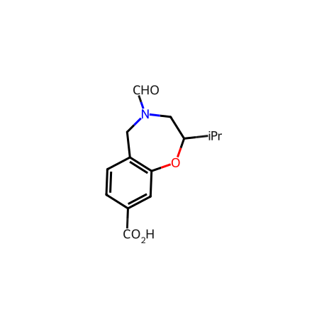 CC(C)C1CN(C=O)Cc2ccc(C(=O)O)cc2O1